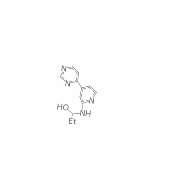 CCC(O)Nc1cc(-c2ccn[c]n2)ccn1